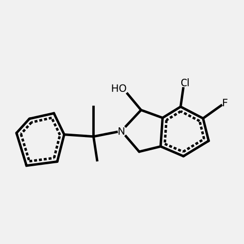 CC(C)(c1ccccc1)N1Cc2ccc(F)c(Cl)c2C1O